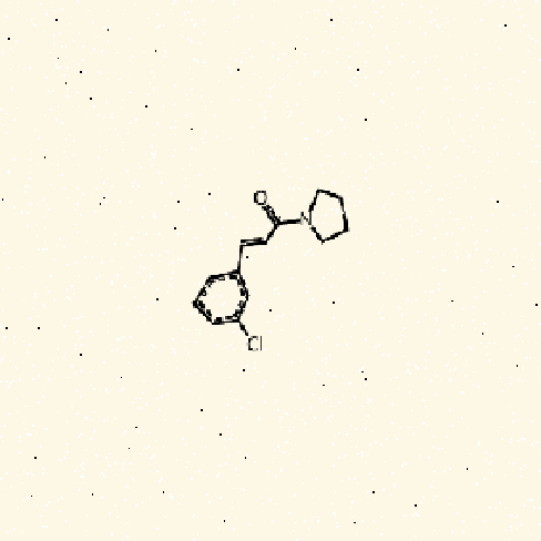 O=C(/C=C/c1cccc(Cl)c1)N1CCCC1